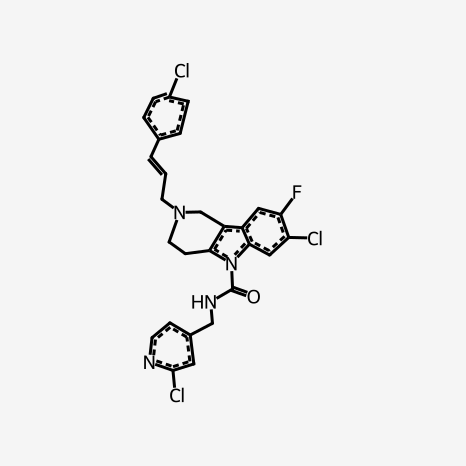 O=C(NCc1ccnc(Cl)c1)n1c2c(c3cc(F)c(Cl)cc31)CN(C/C=C/c1ccc(Cl)cc1)CC2